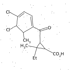 CCC1(C)C(C(=O)O)C1C(=O)C1=CC=C(Cl)C(Cl)C1C